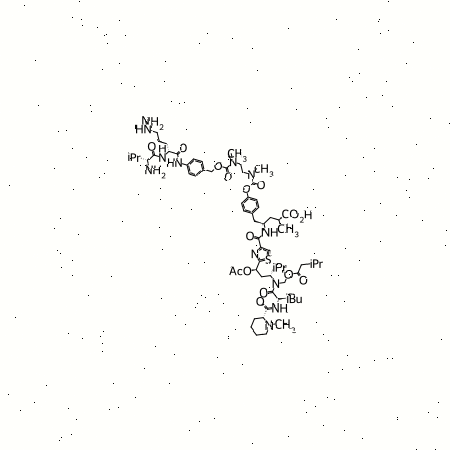 CC[C@H](C)[C@H](NC(=O)[C@H]1CCCCN1C)C(=O)N(COC(=O)CC(C)C)[C@H](C[C@@H](OC(C)=O)c1nc(C(=O)N[C@@H](Cc2ccc(OC(=O)N(C)CCN(C)C(=O)OCc3ccc(NC(=O)[C@@H](CCCNN)NC(=O)[C@H](N)C(C)C)cc3)cc2)C[C@H](C)C(=O)O)cs1)C(C)C